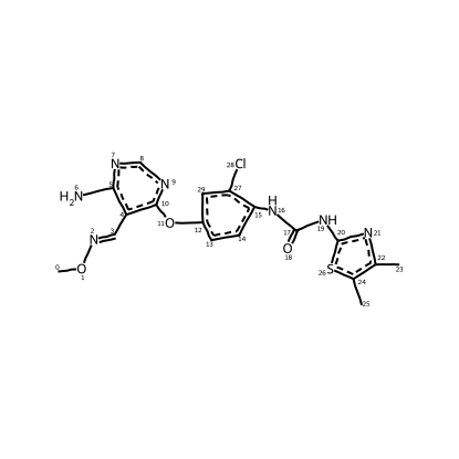 CO/N=C/c1c(N)ncnc1Oc1ccc(NC(=O)Nc2nc(C)c(C)s2)c(Cl)c1